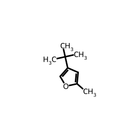 Cc1cc(C(C)(C)C)co1